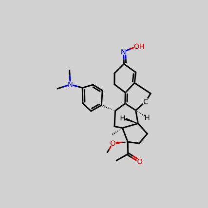 CO[C@]1(C(C)=O)CC[C@H]2[C@@H]3CCC4=CC(=NO)CCC4=C3[C@@H](c3ccc(N(C)C)cc3)C[C@@]21C